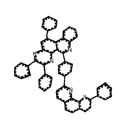 c1ccc(-c2ccc3ccc4ccc(-c5ccc(-c6nc7ccccc7c7c(-c8ccccc8)cc8nc(-c9ccccc9)c(-c9ccccc9)nc8c67)cc5)nc4c3n2)cc1